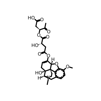 COc1ccc2c3c1O[C@H]1C(OC(=O)C[C@H](O)C(=O)O[C@@H](CC(=O)O)C(C)=O)=CC[C@@]4(O)[C@@H](C2)N(C)CC[C@]314